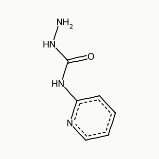 NNC(=O)Nc1ccccn1